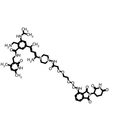 C/C(=C\C=C(/N)N1CCN(NC(=O)COOCCOOONc2cccc3c2C(=O)N(C2CCC(=O)NC2=O)C3=O)CC1)c1cc(NC(C)C)c(CN)c(C(=O)NCc2c(C)cc(C)[nH]c2=O)c1